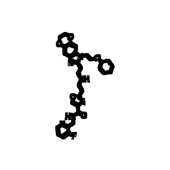 O=C(NCc1ncccc1F)c1coc(CCNCCc2nc3cc4c(cc3n2CCOC2CCCCC2)OCCO4)n1